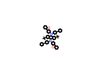 CC(C)(C)c1ccc2c(N(c3ccc(-c4ccccc4)cc3)c3ccc4c(c3)oc3ccccc34)c3cc(C(C)(C)C)ccc3c(N(c3ccc(-c4ccccc4)cc3)c3ccc4c(c3)oc3ccccc34)c2c1